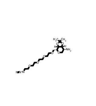 CC1(C)O[C@@H]2[C@H](O1)[C@H](N)CO[C@@H]2COCCOCCOCCOCCN=[N+]=[N-]